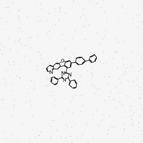 c1ccc(-c2ccc(-c3cc(-c4nc(-c5ccccc5)nc(-c5ccccc5)n4)c4c(c3)oc3cc5cccnc5cc34)cc2)cc1